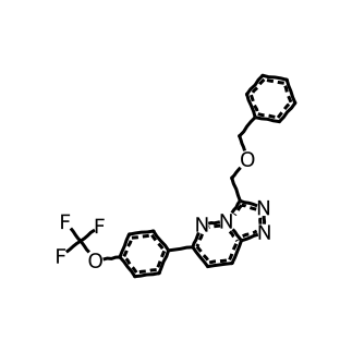 FC(F)(F)Oc1ccc(-c2ccc3nnc(COCc4ccccc4)n3n2)cc1